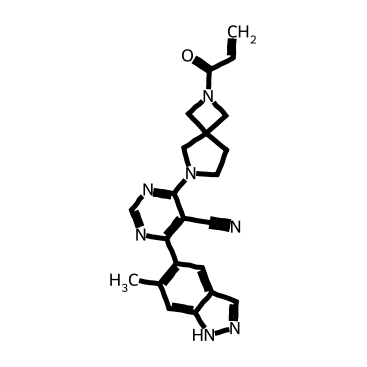 C=CC(=O)N1CC2(CCN(c3ncnc(-c4cc5cn[nH]c5cc4C)c3C#N)C2)C1